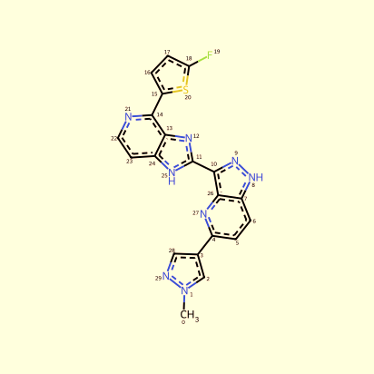 Cn1cc(-c2ccc3[nH]nc(-c4nc5c(-c6ccc(F)s6)nccc5[nH]4)c3n2)cn1